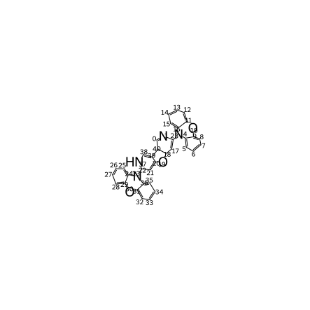 C1=NC(N2c3ccccc3Oc3ccccc32)=CC2OC3=CC(N4c5ccccc5Oc5ccccc54)NC=C3C12